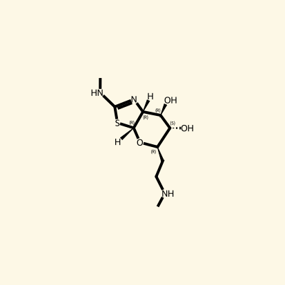 CNCC[C@H]1O[C@@H]2SC(NC)=N[C@@H]2[C@@H](O)[C@@H]1O